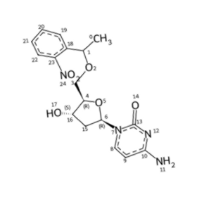 CC(OC[C@H]1O[C@@H](n2ccc(N)nc2=O)C[C@@H]1O)c1ccccc1[N+](=O)[O-]